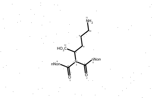 CCCCCCCCCC(=O)N(C(=O)CCCCCCCCC)C(CCCN)C(=O)O